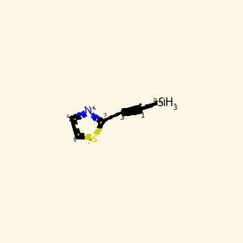 [SiH3]C#Cc1nccs1